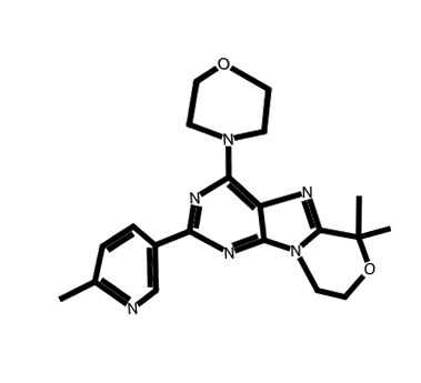 Cc1ccc(-c2nc(N3CCOCC3)c3nc4n(c3n2)CCOC4(C)C)cn1